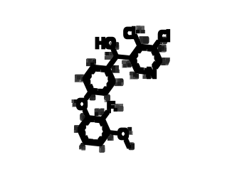 COc1cccc(Oc2ccc(C(O)c3cncc(Cl)c3Cl)cc2)c1F